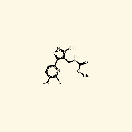 Cn1nnc(-c2ccc(O)c(C(F)(F)F)n2)c1CNC(=O)OC(C)(C)C